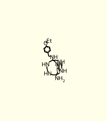 CCOc1ccc(CNC23CNCCNCC(N)(CNCCNC2)CNCCNC3)cc1